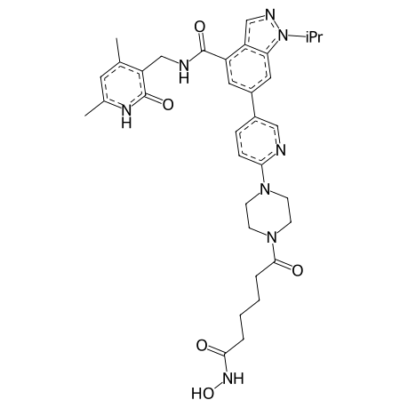 Cc1cc(C)c(CNC(=O)c2cc(-c3ccc(N4CCN(C(=O)CCCCC(=O)NO)CC4)nc3)cc3c2cnn3C(C)C)c(=O)[nH]1